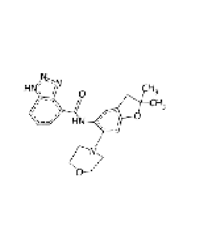 CC1(C)Cc2cc(NC(=O)c3cccc4[nH]nnc34)c(N3CCOCC3)cc2O1